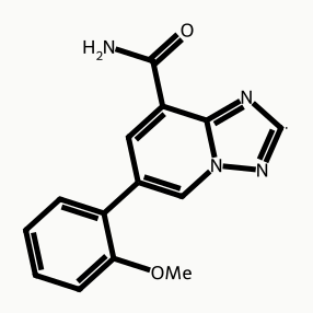 COc1ccccc1-c1cc(C(N)=O)c2n[c]nn2c1